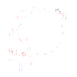 C[C@H]1[C@H](O)[C@@H](C)/C=C/C=C/CC/C=C/C=C/C=C/C=C/[C@H](O[C@@H]2O[C@H](C)[C@@H](O)[C@H](N)[C@@H]2O)C[C@@H]2O[C@](O)(C[C@@H](O)[C@H](O)CC[C@@H](O)C[C@@H](O)C[C@@H](O)CC(=O)O[C@H]1C)C[C@H](O)[C@H]2C(=O)O